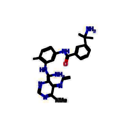 C=C/N=C1/C(NC)=NC=N/C1=C(/N)Nc1cc(NC(=O)c2cccc(C(C)(C)N)c2)ccc1C